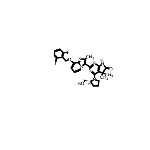 Cc1nc2c(OCc3c(F)cccc3I)cccn2c1-c1nc2c(c(N3CCC[C@@H]3CO)n1)C(C)(C)C(=O)N2